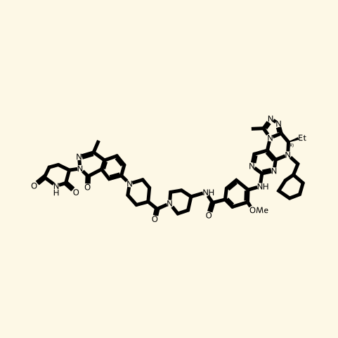 CC[C@@H]1c2nnc(C)n2-c2cnc(Nc3ccc(C(=O)NC4CCN(C(=O)C5CCN(c6ccc7c(C)nn(C8CCC(=O)NC8=O)c(=O)c7c6)CC5)CC4)cc3OC)nc2N1CC1CCCCC1